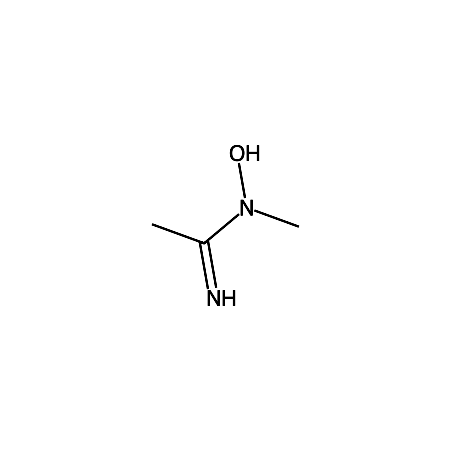 CC(=N)N(C)O